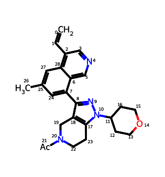 C=Cc1cncc2c(-c3nn(C4CCOCC4)c4c3CN(C(C)=O)CC4)cc(C)cc12